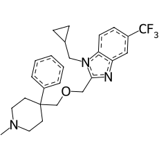 CN1CCC(COCc2nc3cc(C(F)(F)F)ccc3n2CC2CC2)(c2ccccc2)CC1